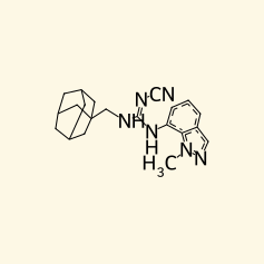 Cn1ncc2cccc(NC(=NC#N)NCC34CC5CC(CC(C5)C3)C4)c21